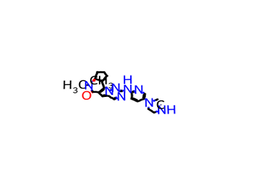 CN(C)C(=O)c1cc2cnc(Nc3ccc(N4CCNCC4)cn3)nn2c1C1CCCC1